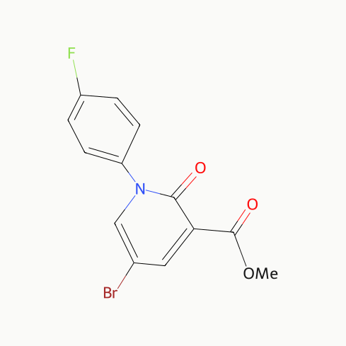 COC(=O)c1cc(Br)cn(-c2ccc(F)cc2)c1=O